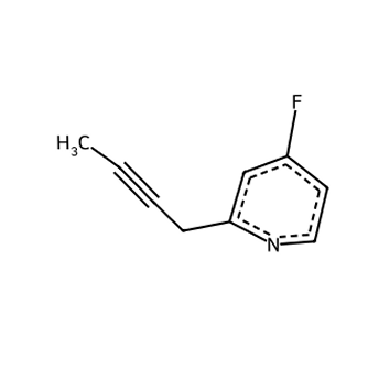 CC#CCc1cc(F)ccn1